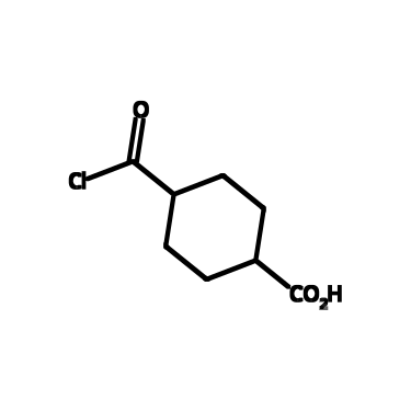 O=C(O)C1CCC(C(=O)Cl)CC1